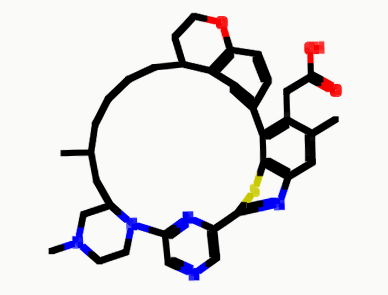 Cc1cc2nc3sc2c(c1CC(=O)O)-c1ccc2c(c1)C(CCCCC(C)CC1CN(C)CCN1c1cncc-3n1)CCO2